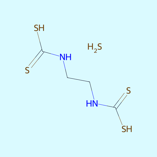 S.S=C(S)NCCNC(=S)S